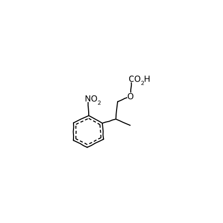 CC(COC(=O)O)c1ccccc1[N+](=O)[O-]